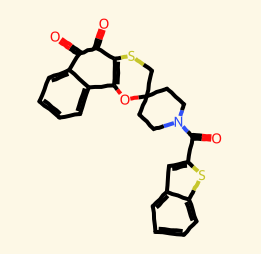 O=C1C(=O)c2ccccc2C2=C1SCC1(CCN(C(=O)c3cc4ccccc4s3)CC1)O2